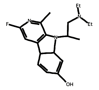 CCN(CC)CC(C)N1c2c(cc(F)nc2C)C2C=CC(O)=CC21